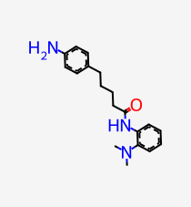 CN(C)c1ccccc1NC(=O)CCCCc1ccc(N)cc1